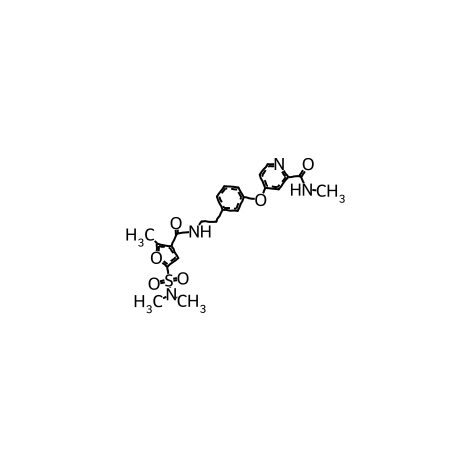 CNC(=O)c1cc(Oc2cccc(CCNC(=O)c3cc(S(=O)(=O)N(C)C)oc3C)c2)ccn1